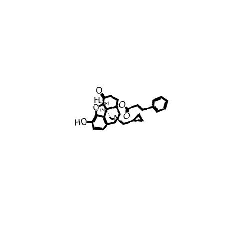 O=C(CCc1ccccc1)O[C@@]12CCC(=O)[C@@H]3Oc4c(O)ccc5c4[C@@]31CCN(CC1CC1)C2C5